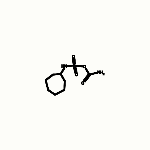 NC(=O)OS(=O)(=O)NC1CCCCCC1